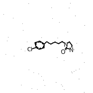 O=C1[N]CCN1CCCCCc1ccc(Cl)cc1